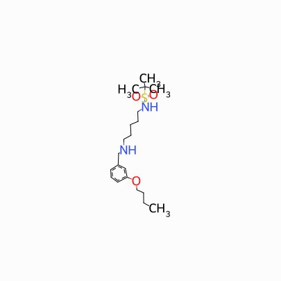 CCCCOc1cccc(CNCCCCCNS(=O)(=O)C(C)(C)C)c1